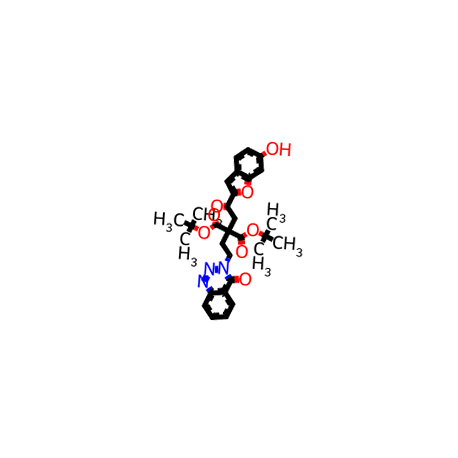 CC(C)(C)OC(=O)C(CCn1nnc2ccccc2c1=O)(CC(=O)c1cc2ccc(O)cc2o1)C(=O)OC(C)(C)C